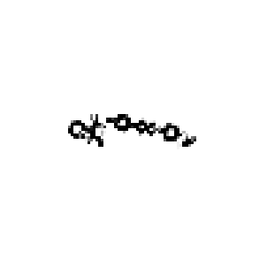 CCc1nn2c(c1C(=O)NCc1ccc(C3CC4(C3)CN(c3ccc(OC(F)(F)F)cc3)C4)cc1)CCCC2